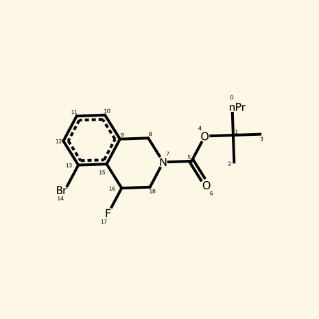 CCCC(C)(C)OC(=O)N1Cc2cccc(Br)c2C(F)C1